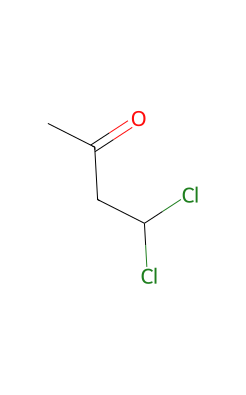 CC(=O)CC(Cl)Cl